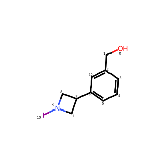 OCc1cccc(C2CN(I)C2)c1